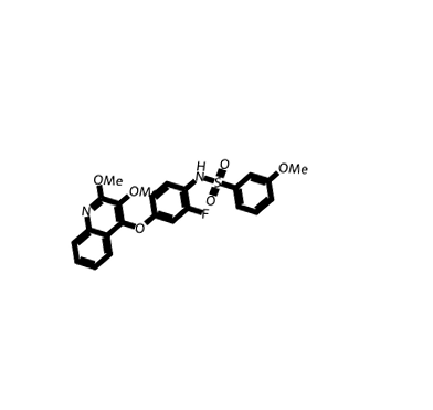 COc1cccc(S(=O)(=O)Nc2ccc(Oc3c(OC)c(OC)nc4ccccc34)cc2F)c1